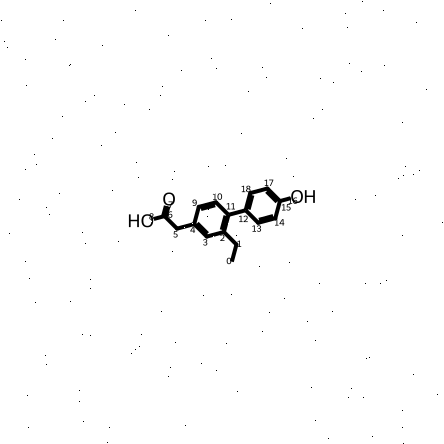 CCc1cc(CC(=O)O)ccc1-c1ccc(O)cc1